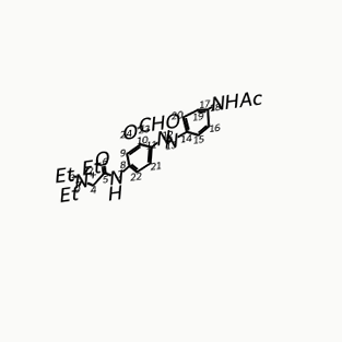 CC[N+](CC)(CC)CC(=O)Nc1ccc(N=Nc2ccc(NC(C)=O)cc2)cc1.O=C[O-]